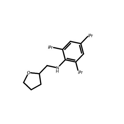 CC(C)c1cc(C(C)C)c(NCC2CCCO2)c(C(C)C)c1